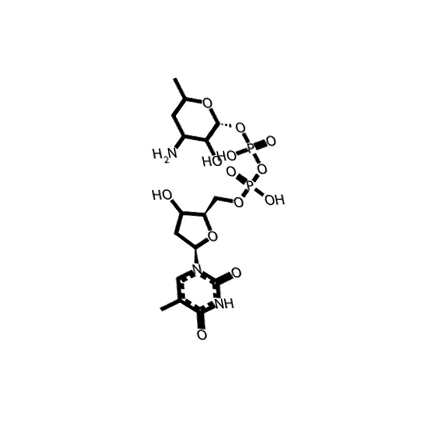 Cc1cn([C@H]2CC(O)[C@@H](COP(=O)(O)OP(=O)(O)O[C@H]3OC(C)CC(N)C3O)O2)c(=O)[nH]c1=O